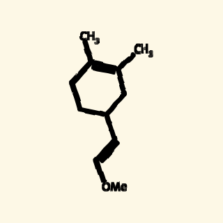 CO/C=C/C1CCC(C)=C(C)C1